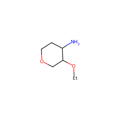 CCOC1COCCC1N